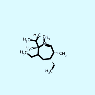 CCC1C[C@@H](CC)[C@@H](C)C=[N+](C)[C@@]1(C)C(C)C